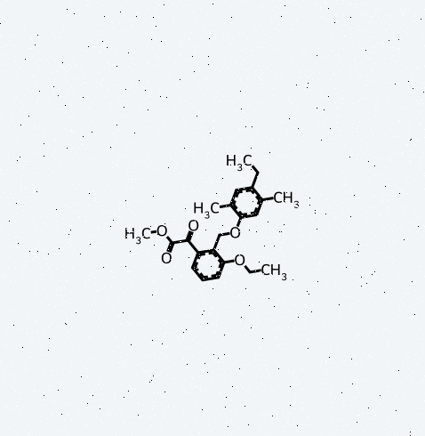 CCOc1cccc(C(=O)C(=O)OC)c1COc1cc(C)c(CC)cc1C